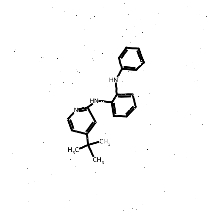 CC(C)(C)c1ccnc(Nc2ccccc2Nc2ccccc2)c1